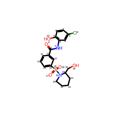 O=C(Nc1cc(Cl)ccc1O)c1cccc(S(=O)(=O)N2CCCCC2CO)c1